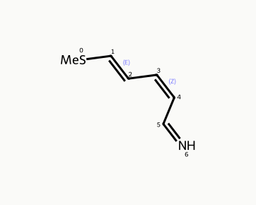 CS/C=C/C=C\C=N